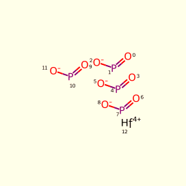 O=P[O-].O=P[O-].O=P[O-].O=P[O-].[Hf+4]